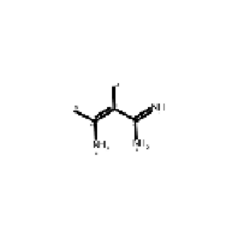 C/C(N)=C(\C)C(=N)N